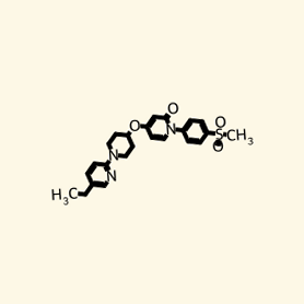 CCc1ccc(N2CCC(Oc3ccn(-c4ccc(S(C)(=O)=O)cc4)c(=O)c3)CC2)nc1